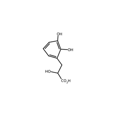 O=C(O)C(O)Cc1cccc(O)c1O